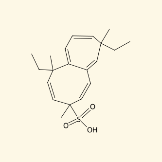 CCC1(C)C=CC=C2C(=C1)/C=C\C(C)(S(=O)(=O)O)/C=C\C2(C)CC